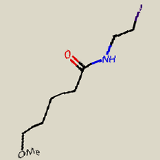 COCCCCC(=O)NCCI